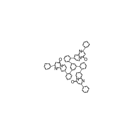 O=c1cc(-c2ccccc2)nc2cc(-c3ccccc3-c3cc(-c4ccccc4-c4ccn5c(=O)cc(-c6ccccc6)nc5c4)cc(-c4ccccc4-c4ccn5c(=O)cc(-c6ccccc6)nc5c4)c3)ccn12